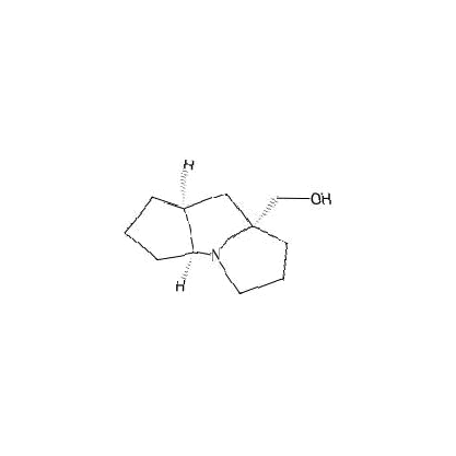 OC[C@]12CCCN1[C@H]1CCC[C@H]1C2